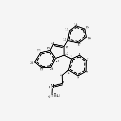 CCCCN=CCc1ccccc1C1C(c2ccccc2)=Cc2ccccc21